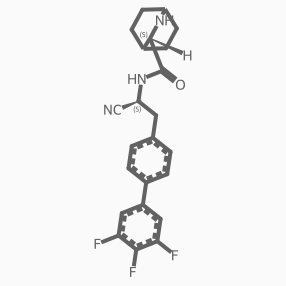 N#C[C@H](Cc1ccc(-c2cc(F)c(F)c(F)c2)cc1)NC(=O)[C@H]1NC2CCC1CC2